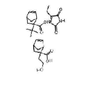 CC(C)(C)C1(C(=O)O)CC2C=CC1C2.CCC1=CC(=O)NC1=O.O=C(O)C1(CCO)CC2C=CC1C2